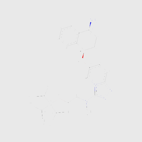 CC(C)[Si](OCCN(C)c1nnc2ccc(O[C@@H]3CC[C@H](N)c4ccccc43)cn12)(C(C)C)C(C)C